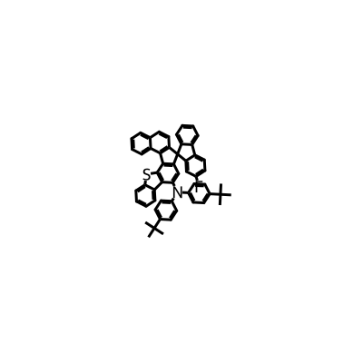 CC(C)(C)c1ccc(N(c2ccc(C(C)(C)C)cc2)c2cc3c(c4sc5ccccc5c24)-c2c(ccc4ccccc24)C32c3ccccc3-c3ccc(F)cc32)cc1